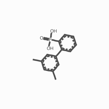 Cc1cc(C)cc(-c2ccccc2P(=O)(O)O)c1